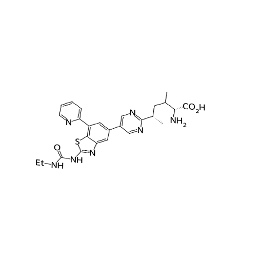 CCNC(=O)Nc1nc2cc(-c3cnc([C@@H](C)CC(C)[C@@H](N)C(=O)O)nc3)cc(-c3ccccn3)c2s1